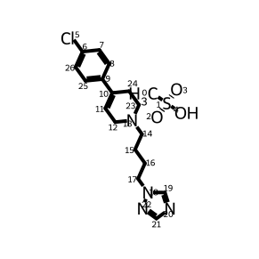 CS(=O)(=O)O.Clc1ccc(C2=CCN(CCCCn3cncn3)CC2)cc1